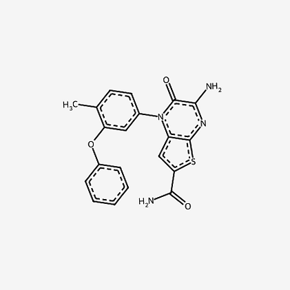 Cc1ccc(-n2c(=O)c(N)nc3sc(C(N)=O)cc32)cc1Oc1ccccc1